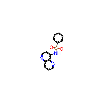 O=S(=O)(Nc1ccnc2cccnc12)c1ccccc1